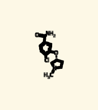 CN1CC[C@@H](Oc2cc(C(N)=O)ccc2Cl)C1